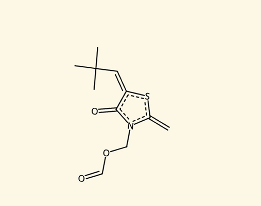 C=c1s/c(=C/C(C)(C)C)c(=O)n1COC=O